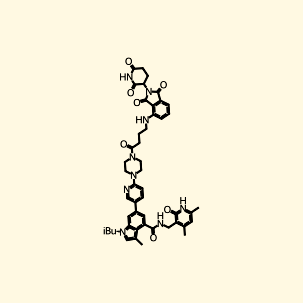 CC[C@H](C)n1cc(C)c2c(C(=O)NCc3c(C)cc(C)[nH]c3=O)cc(-c3ccc(N4CCN(C(=O)CCCNc5cccc6c5C(=O)N(C5CCC(=O)NC5=O)C6=O)CC4)nc3)cc21